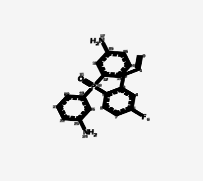 C=CCc1cc(F)ccc1P(=O)(c1cccc(N)c1)c1cccc(N)c1